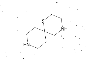 C1CC2(CCN1)CNCCS2